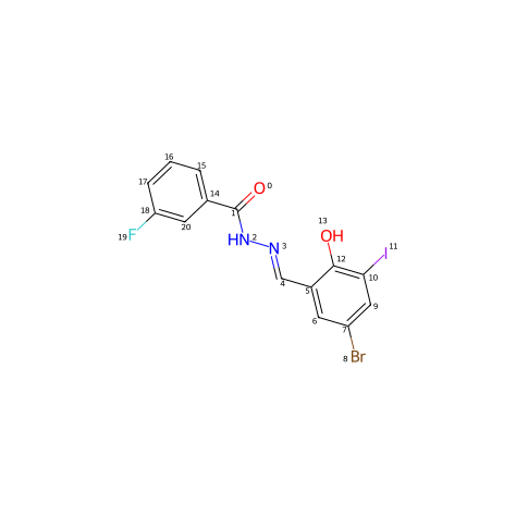 O=C(N/N=C/c1cc(Br)cc(I)c1O)c1cccc(F)c1